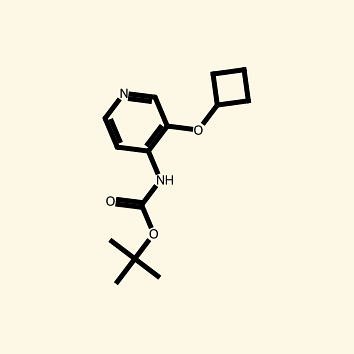 CC(C)(C)OC(=O)Nc1ccncc1OC1CCC1